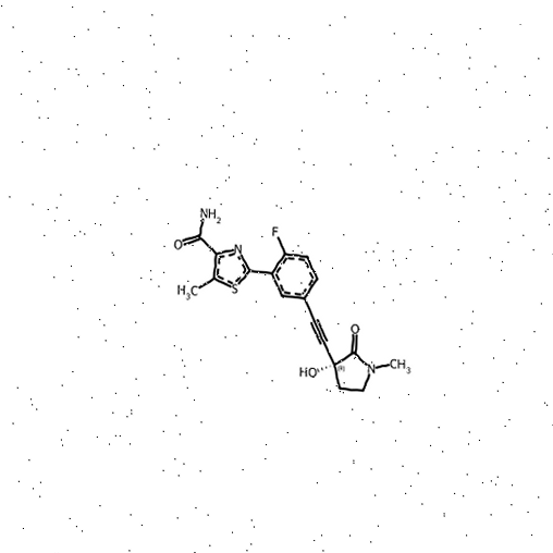 Cc1sc(-c2cc(C#C[C@]3(O)CCN(C)C3=O)ccc2F)nc1C(N)=O